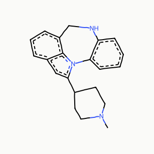 CN1CCC(c2cc3cccc4c3n2-c2ccccc2NC4)CC1